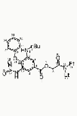 CCCCNc1cc(C(=O)OCC(=O)N(CC)CC)cc(N[SH](=O)=O)c1Oc1ccccc1